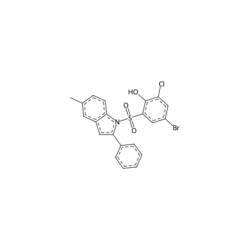 Cc1ccc2c(c1)cc(-c1ccccc1)n2S(=O)(=O)c1cc(Br)cc(Cl)c1O